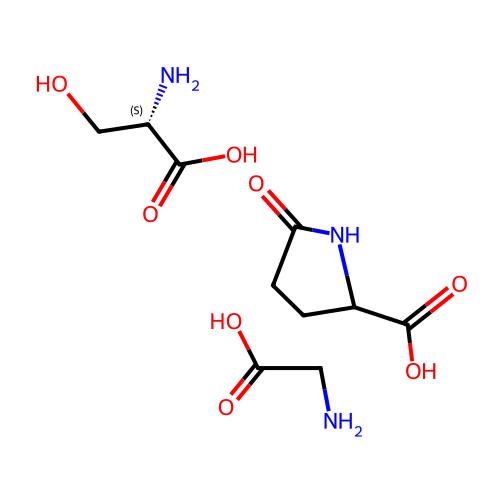 NCC(=O)O.N[C@@H](CO)C(=O)O.O=C1CCC(C(=O)O)N1